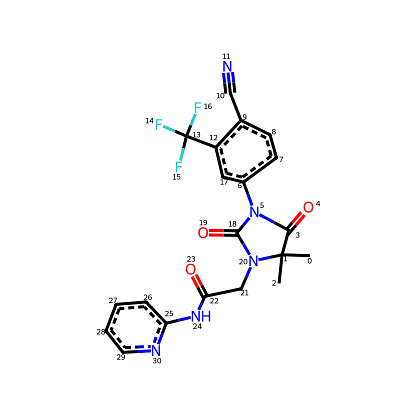 CC1(C)C(=O)N(c2ccc(C#N)c(C(F)(F)F)c2)C(=O)N1CC(=O)Nc1ccccn1